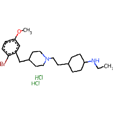 CCNC1CCC(CCN2CCC(Cc3cc(OC)ccc3Br)CC2)CC1.Cl.Cl